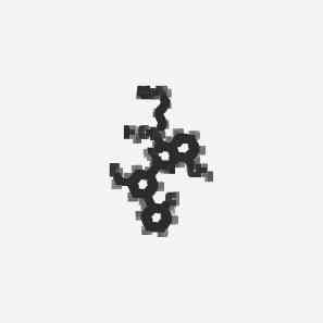 CNCCCN(C)c1nc(-c2cc(CF)cc(-c3ccccc3Cl)c2)nc2c(C)cccc12